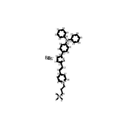 C[N+](C)(C)CCC[n+]1ccc(/C=C/c2ccc(-c3ccc(N(c4ccccc4)c4ccccc4)cc3)s2)cc1.[Br-].[Br-]